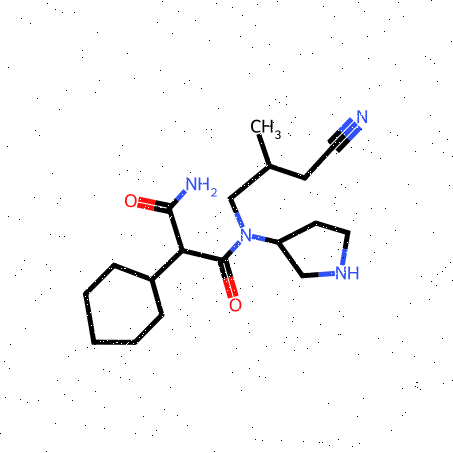 CC(CC#N)CN(C(=O)C(C(N)=O)C1CCCCC1)C1CCNC1